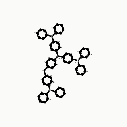 c1ccc(N(c2ccccc2)c2ccc(Cc3ccc(N(c4ccc(N(c5ccccc5)c5ccccc5)cc4)c4ccc(N(c5ccccc5)c5ccccc5)cc4)cc3)cc2)cc1